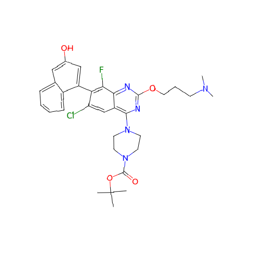 CN(C)CCCOc1nc(N2CCN(C(=O)OC(C)(C)C)CC2)c2cc(Cl)c(-c3cc(O)cc4ccccc34)c(F)c2n1